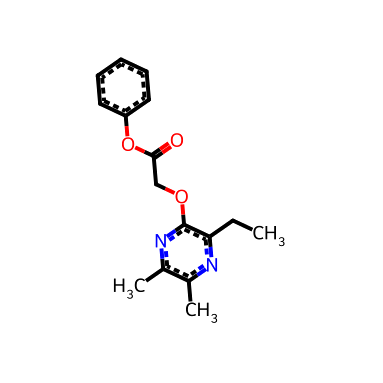 CCc1nc(C)c(C)nc1OCC(=O)Oc1ccccc1